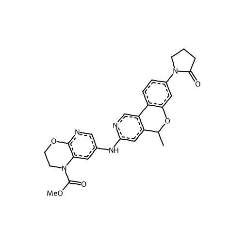 COC(=O)N1CCOc2ncc(Nc3cc4c(cn3)-c3ccc(N5CCCC5=O)cc3OC4C)cc21